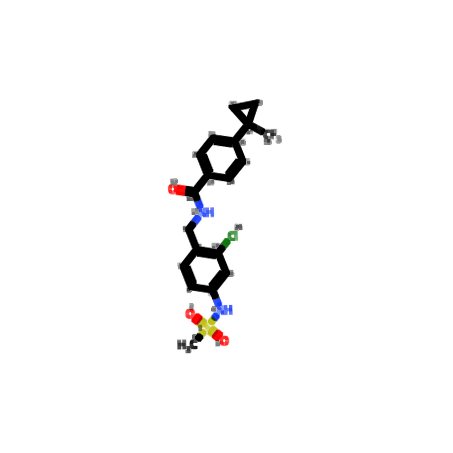 CS(=O)(=O)Nc1ccc(CNC(=O)c2ccc(C3(C(F)(F)F)CC3)cc2)c(Cl)c1